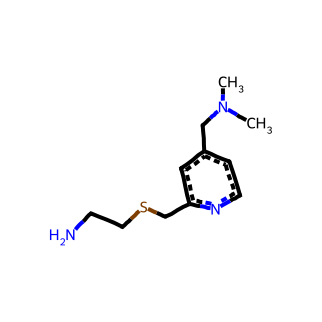 CN(C)Cc1ccnc(CSCCN)c1